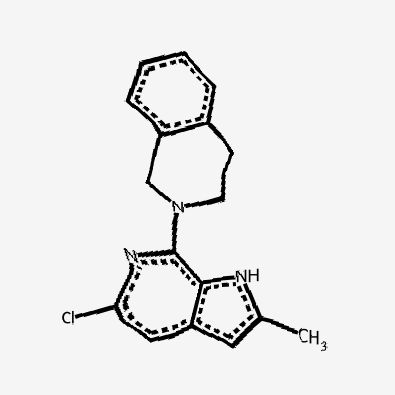 Cc1cc2cc(Cl)nc(N3CCc4ccccc4C3)c2[nH]1